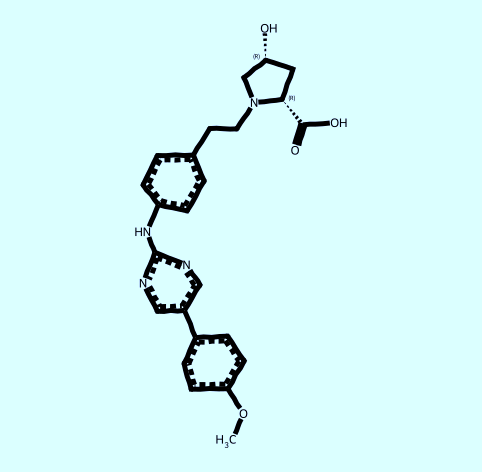 COc1ccc(-c2cnc(Nc3ccc(CCN4C[C@H](O)C[C@@H]4C(=O)O)cc3)nc2)cc1